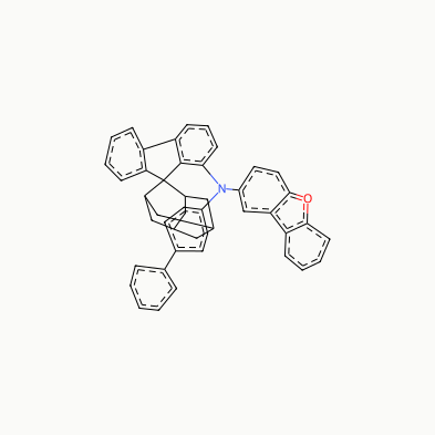 c1ccc(-c2ccc(N(c3ccc4oc5ccccc5c4c3)c3cccc4c3C3(c5ccccc5-4)C4CC5CC(C4)CC3C5)cc2)cc1